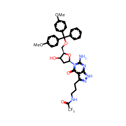 COc1ccc(C(OC[C@H]2O[C@@H](n3c(N)nc4[nH]nc(CCCNC(=O)C(F)(F)F)c4c3=O)CC2O)(c2ccccc2)c2ccc(OC)cc2)cc1